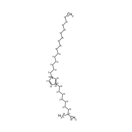 CCCCCCCCCCCCCCCCn1cc[n+](CCCCCCCC(C)C)c1